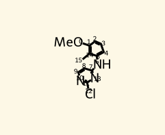 COc1cccc(Nc2ccnc(Cl)n2)c1C